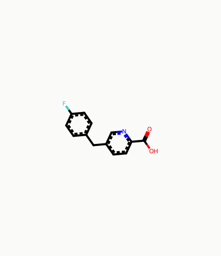 O=C(O)c1ccc(Cc2ccc(F)cc2)cn1